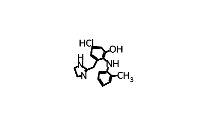 Cc1ccccc1Nc1c(O)cccc1CC1=NCCN1.Cl